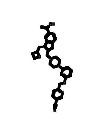 N#Cc1ccc(COc2cccc(N3CCN(CN4Cc5ccc(C(=O)O)cc5[C@@H]4CC4CCO4)CC3)n2)nc1